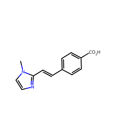 Cn1ccnc1/C=C/c1ccc(C(=O)O)cc1